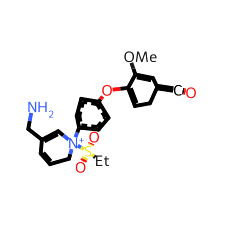 CCS(=O)(=O)[N+]1(c2ccc(OC3=CCC(=C=O)C=C3OC)cc2)C=C(CN)C=CC1